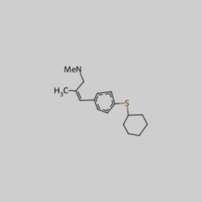 CNCC(C)=Cc1ccc(SC2CCCCC2)cc1